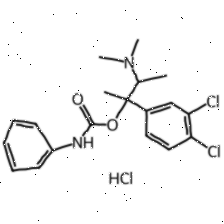 CC(N(C)C)C(C)(OC(=O)Nc1ccccc1)c1ccc(Cl)c(Cl)c1.Cl